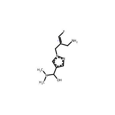 CN(C)C(O)c1cnn(C/C(=C/F)CN)c1